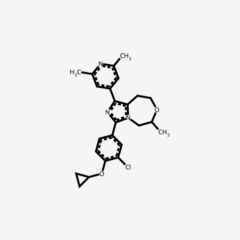 Cc1cc(-c2nc(-c3ccc(OC4CC4)c(Cl)c3)n3c2CCOC(C)C3)cc(C)n1